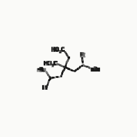 CCCCC(CC)CC(CC(=O)O)(CC(CC)CCCC)C(=O)O